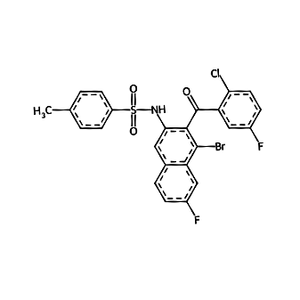 Cc1ccc(S(=O)(=O)Nc2cc3ccc(F)cc3c(Br)c2C(=O)c2cc(F)ccc2Cl)cc1